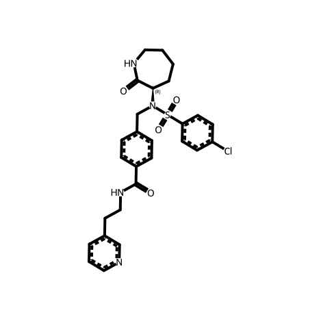 O=C(NCCc1cccnc1)c1ccc(CN([C@@H]2CCCCNC2=O)S(=O)(=O)c2ccc(Cl)cc2)cc1